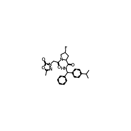 Cc1nn(CC(=O)N2CC(F)CC2C(=O)NC(c2ccccc2)c2ccc(C(C)C)cc2)c(=O)o1